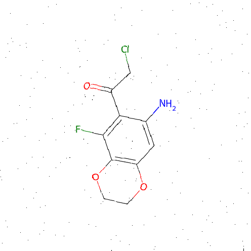 Nc1cc2c(c(F)c1C(=O)CCl)OCCO2